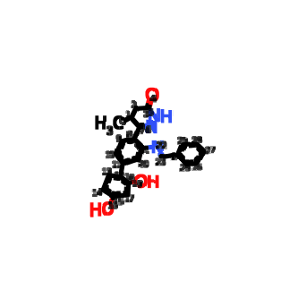 CC1CC(=O)NN=C1c1ccc(-c2ccc(O)cc2O)cc1N=Cc1ccccc1